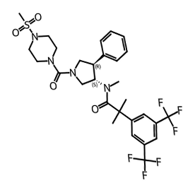 CN(C(=O)C(C)(C)c1cc(C(F)(F)F)cc(C(F)(F)F)c1)[C@@H]1CN(C(=O)N2CCN(S(C)(=O)=O)CC2)C[C@H]1c1ccccc1